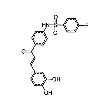 O=C(C=Cc1ccc(O)c(O)c1)c1ccc(NS(=O)(=O)c2ccc(F)cc2)cc1